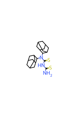 NC(=S)NC(=S)N(C1C2CC3CC(C2)CC1C3)C1C2CC3CC(C2)CC1C3